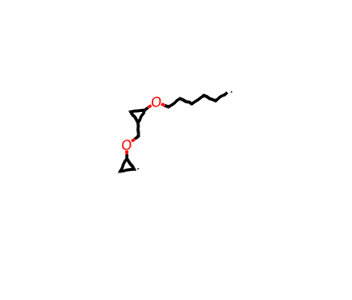 [CH2]CCCCCOC1CC1COC1[CH]C1